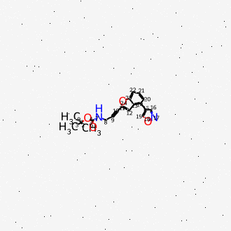 CC(C)(C)OC(=O)NCC#Cc1cc2c(-c3cnoc3)cccc2o1